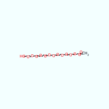 C=CC(=O)OCCOCCOCCOCCOCCOCCOCCOCCOCCOCCOCCOCCOCCO